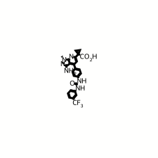 Cn1nc(N)c2c(-c3ccc(NC(=O)Nc4cccc(C(F)(F)F)c4)cc3)cc(C3(C(=O)O)CC3)nc21